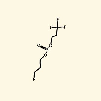 O=S(OCCCF)OCCC(F)(F)F